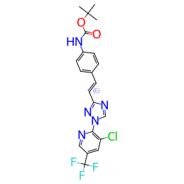 CC(C)(C)OC(=O)Nc1ccc(/C=C/c2ncn(-c3ncc(C(F)(F)F)cc3Cl)n2)cc1